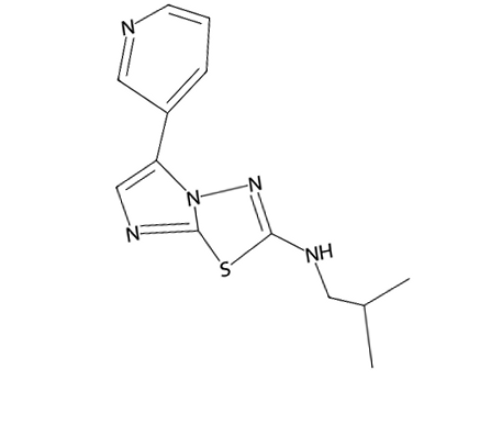 CC(C)CNc1nn2c(-c3cccnc3)cnc2s1